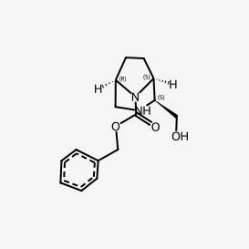 O=C(OCc1ccccc1)N1[C@@H]2CC[C@H]1[C@@H](CO)NC2